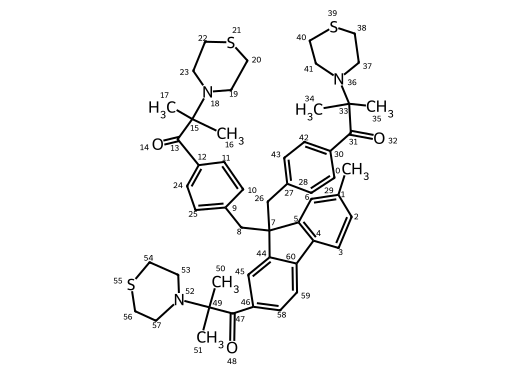 Cc1ccc2c(c1)C(Cc1ccc(C(=O)C(C)(C)N3CCSCC3)cc1)(Cc1ccc(C(=O)C(C)(C)N3CCSCC3)cc1)c1cc(C(=O)C(C)(C)N3CCSCC3)ccc1-2